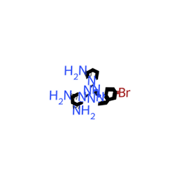 N[C@@H]1CCCN(c2nc(N3C[C@H](N)C[C@H](N)C3)nc(-n3ccc4cc(Br)ccc43)n2)C1